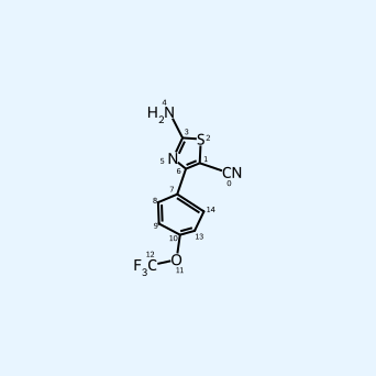 N#Cc1sc(N)nc1-c1ccc(OC(F)(F)F)cc1